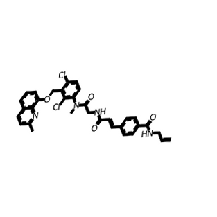 C=CCNC(=O)c1ccc(/C=C/C(=O)NCC(=O)N(C)c2ccc(Cl)c(COc3cccc4ccc(C)nc34)c2Cl)cc1